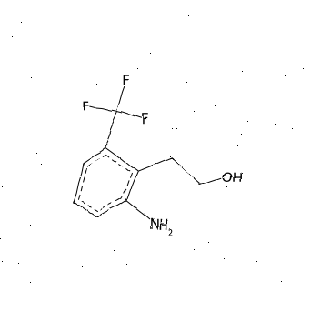 Nc1cccc(C(F)(F)F)c1CCO